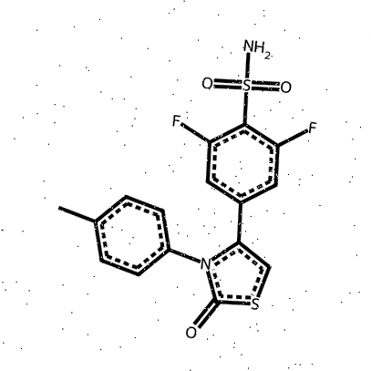 Cc1ccc(-n2c(-c3cc(F)c(S(N)(=O)=O)c(F)c3)csc2=O)cc1